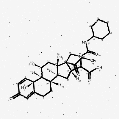 C[C@]12C=CC(=O)C=C1CC[C@@H]1[C@@H]2[C@@H](O)C[C@@]2(C)[C@H]1C[C@H]1C(C(=O)O)N(C(=O)NC3CCCCC3)C[C@]12C(=O)CO